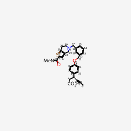 CC#C[C@@H](CC(=O)O)c1ccc(OCc2cccc(CN3CCc4sc(C(=O)NC)cc4C3)c2)cc1